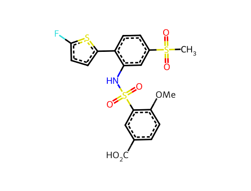 COc1ccc(C(=O)O)cc1S(=O)(=O)Nc1cc(S(C)(=O)=O)ccc1-c1ccc(F)s1